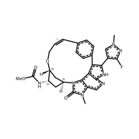 COC(=O)N[C@H]1C[C@H]2C[C@H]1OC/C=C\c1ccc(cc1)-c1c(-c3cn(C)nc3F)[nH]c3ncc4c(c13)n2c(=O)n4C